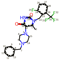 Cc1c(N2CCN(Cc3ccccc3)CC2)c(=O)[nH]c(=O)n1Cc1c(F)cccc1C(F)(F)F